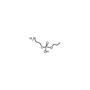 CCCOP(=O)(O)OCCN